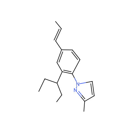 C/C=C/c1ccc(-n2ccc(C)n2)c(C(CC)CC)c1